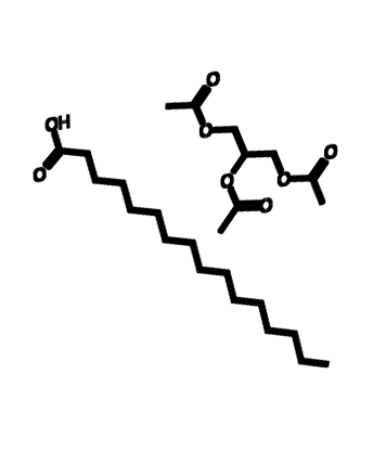 CC(=O)OCC(COC(C)=O)OC(C)=O.CCCCCCCCCCCCCCCC(=O)O